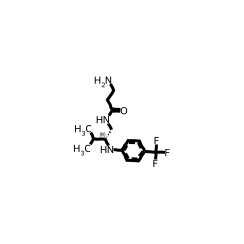 CC(C)[C@H](CNC(=O)CCN)Nc1ccc(C(F)(F)F)cc1